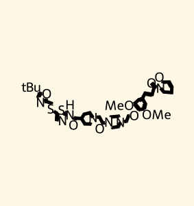 COc1cc(C=CC(=O)N2CCC=CC2=O)cc(OC)c1OCCN1CCN(C(=O)CN2CCC(C(=O)Nc3ncc(SCc4ncc(C(C)(C)C)o4)s3)CC2)CC1